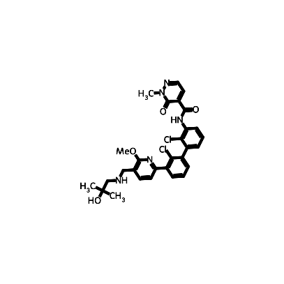 COc1nc(-c2cccc(-c3cccc(NC(=O)c4ccnn(C)c4=O)c3Cl)c2Cl)ccc1CNCC(C)(C)O